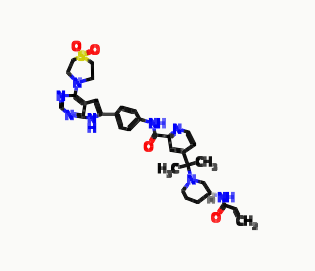 C=CC(=O)N[C@@H]1CCCN(C(C)(C)c2ccnc(C(=O)Nc3ccc(-c4cc5c(N6CCS(=O)(=O)CC6)ncnc5[nH]4)cc3)c2)C1